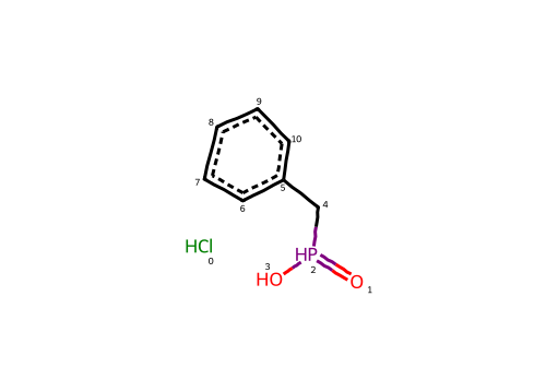 Cl.O=[PH](O)Cc1ccccc1